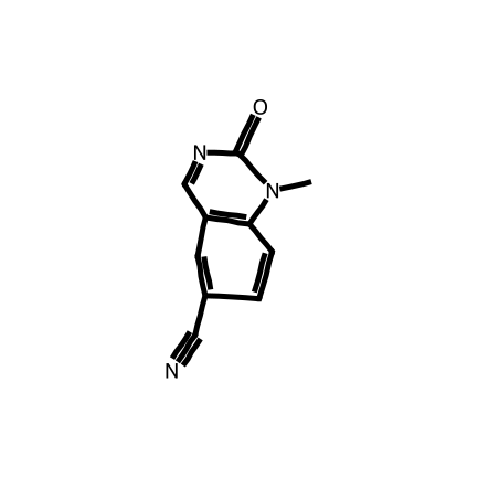 Cn1c(=O)ncc2cc(C#N)ccc21